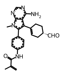 C=C(C)C(=O)Nc1ccc(-c2c(C3=CC[C@@H](C=O)CC3)c3c(N)ncnc3n2C)cc1